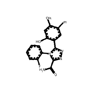 CC(C)c1cc(-c2nnc(C(N)=O)n2-c2ccccc2F)c(O)cc1O